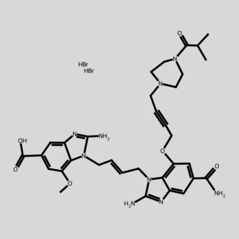 Br.Br.COc1cc(C(=O)O)cc2nc(N)n(C/C=C/Cn3c(N)nc4cc(C(N)=O)cc(OCC#CCN5CCN(C(=O)C(C)C)CC5)c43)c12